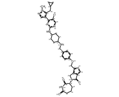 Cn1ncc(-c2nc(NC3CCC(NCc4ccc(OCc5scc6c5CN([C@H]5CCCC(=O)NC5=O)C6=O)cc4)CC3)ncc2Cl)c1CC1CC1